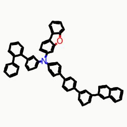 c1ccc(-c2ccccc2-c2cccc(N(c3ccc(-c4ccc(-c5cccc(-c6ccc7ccccc7c6)c5)cc4)cc3)c3ccc4c(c3)oc3ccccc34)c2)cc1